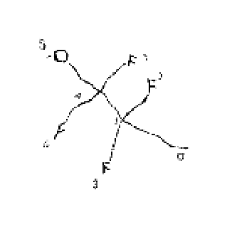 CC(F)(F)C([O])(F)F